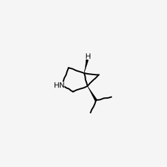 CC(C)[C@@]12CNC[C@@H]1C2